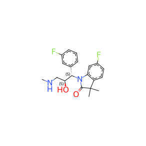 CNC[C@H](O)[C@H](c1cccc(F)c1)N1C(=O)C(C)(C)c2ccc(F)cc21